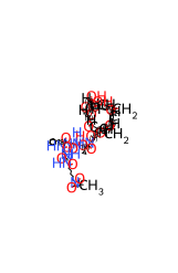 C=C1C[C@@H]2CC[C@@]3(O)CC(O)[C@@H]4C[C@@H]5C4O[C@H]4CC[C@H](CC(=O)CC6=C[C@@H](C[C@H](O)CNC(=O)[C@H](OCNC(=O)CNC(=O)[C@H](Cc7ccccc7)NC(=O)CNC(=O)CNC(=O)CCCCCN7C(=O)CC(C)C7=O)C7CC7)O[C@H]6C[C@H]6O[C@H](CCC6=C)CC[C@@H]1O2)OC4[C@@H]5O3